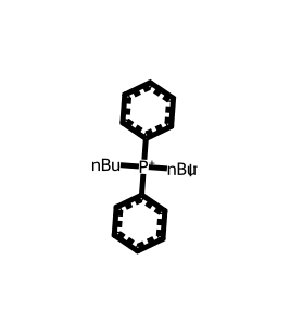 CCCC[P+](CCCC)(c1ccccc1)c1ccccc1.[I-]